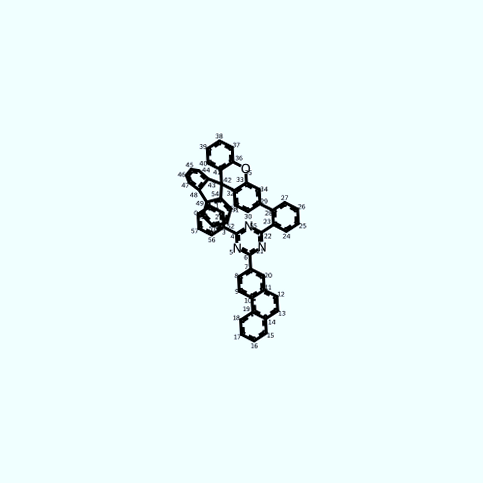 c1ccc(-c2nc(-c3ccc4c(ccc5ccccc54)c3)nc(-c3ccccc3-c3ccc4c(c3)Oc3ccccc3C43c4ccccc4-c4ccccc43)n2)cc1